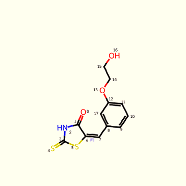 O=C1NC(=S)S/C1=C/c1cccc(OCCO)c1